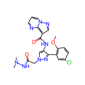 COc1ccc(Cl)cc1-c1nn(CC(=O)NN(C)C)cc1NC(=O)c1cnn2cccnc12